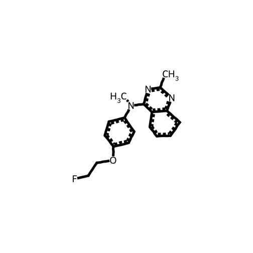 Cc1nc(N(C)c2ccc(OCCF)cc2)c2ccccc2n1